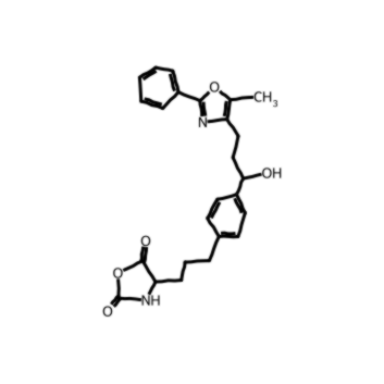 Cc1oc(-c2ccccc2)nc1CCC(O)c1ccc(CCCC2NC(=O)OC2=O)cc1